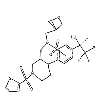 CC1(CN(C[C@H]2CN(S(=O)(=O)c3cccs3)CCN2c2ccc([C@@](C)(O)C(F)(F)F)cc2)S(C)(=O)=O)COC1